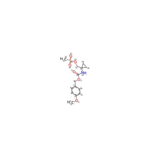 COc1ccc(COC(=O)NC2(COS(C)(=O)=O)CC2)cc1